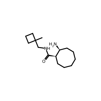 CC1(CNC(=O)[C@@H]2CCCCCC[C@@H]2N)CCC1